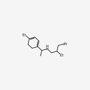 CCC1=CC=C(C(C)NCC(CC)CC(C)C)CC1